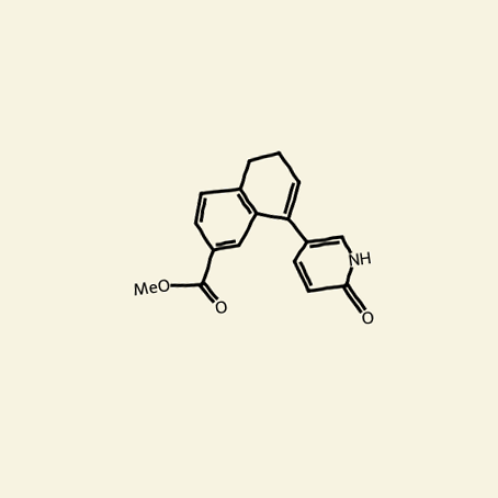 COC(=O)c1ccc2c(c1)C(c1ccc(=O)[nH]c1)=CCC2